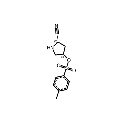 Cc1ccc(S(=O)(=O)O[C@H]2CN[C@H](C#N)C2)cc1